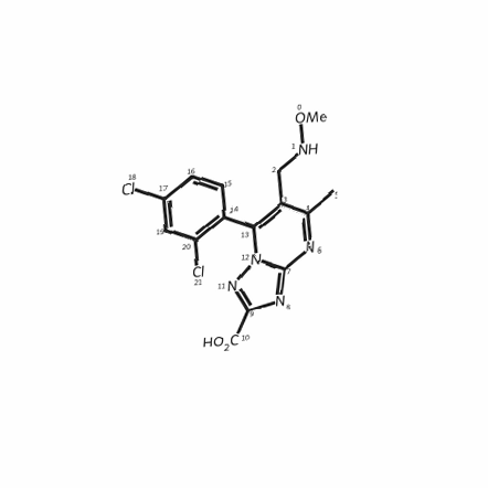 CONCc1c(C)nc2nc(C(=O)O)nn2c1-c1ccc(Cl)cc1Cl